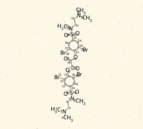 CN(C)CCN(C)S(=O)(=O)c1cc(Br)c(OC(=O)C(=O)Oc2c(Br)cc(S(=O)(=O)N(C)CCN(C)C)cc2Br)c(Br)c1